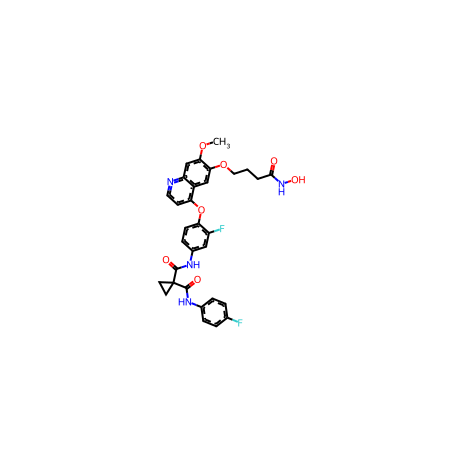 COc1cc2nccc(Oc3ccc(NC(=O)C4(C(=O)Nc5ccc(F)cc5)CC4)cc3F)c2cc1OCCCC(=O)NO